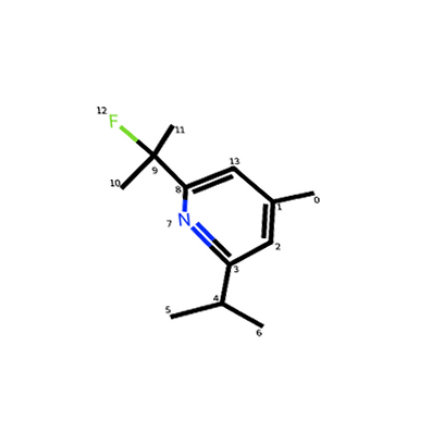 Cc1cc(C(C)C)nc(C(C)(C)F)c1